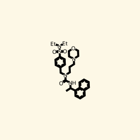 CCN(CC)S(=O)(=O)c1ccc(CN(CCCN2CCOCC2)C(=O)NC(C)c2cccc3ccccc23)cc1